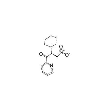 O=C(c1ccccn1)[C@H](C[N+](=O)[O-])C1CCCCC1